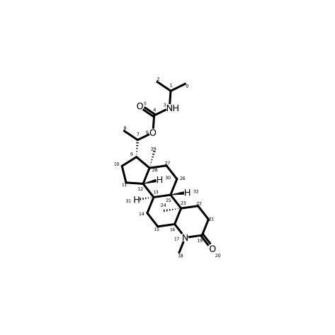 CC(C)NC(=O)OC(C)[C@H]1CC[C@H]2[C@@H]3CCC4N(C)C(=O)CC[C@]4(C)[C@H]3CC[C@]12C